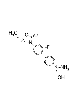 CC[C@H]1CN(c2ccc(-c3ccc([C@@H](N)CO)cc3)c(F)c2)C(=O)O1